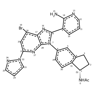 CC(=O)N[C@H]1CCc2cc(-n3c(-c4cccnc4N)nc4c(Br)cc(-n5cccn5)nc43)ccc21